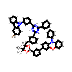 CC1(C)OB(c2cccc(-c3ccc4c(c3)Oc3ccccc3N4c3ccccc3)c2)OC1(C)Cc1cccc(-c2nc(-c3ccccc3)nc(-c3cccc(-n4c5ccccc5c5cc(Br)ccc54)c3)n2)c1